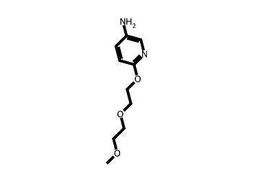 COCCOCCOc1ccc(N)cn1